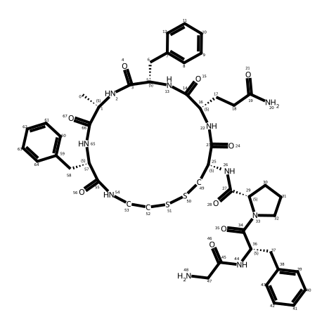 C[C@@H]1NC(=O)[C@H](Cc2ccccc2)NC(=O)[C@H](CCC(N)=O)NC(=O)[C@H](NC(=O)[C@@H]2CCCN2C(=O)[C@H](Cc2ccccc2)NC(=O)CN)CSSCCNC(=O)[C@H](Cc2ccccc2)NC1=O